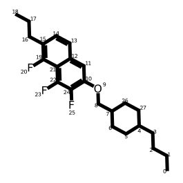 CCCCC1CCC(COc2cc3ccc(CCC)c(F)c3c(F)c2F)CC1